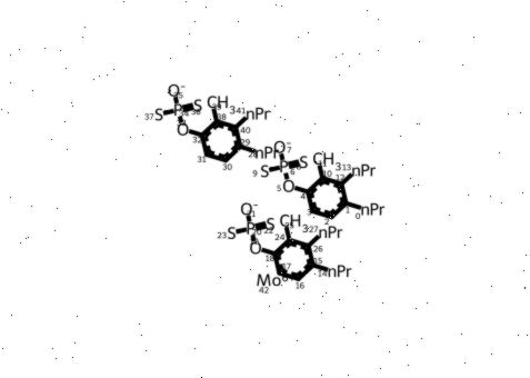 CCCc1ccc(OP([O-])(=S)[S-])c(C)c1CCC.CCCc1ccc(OP([O-])(=S)[S-])c(C)c1CCC.CCCc1ccc(OP([O-])(=S)[S-])c(C)c1CCC.[Mo+6]